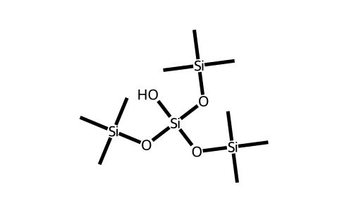 C[Si](C)(C)O[Si](O)(O[Si](C)(C)C)O[Si](C)(C)C